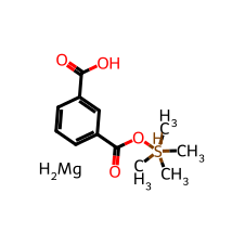 C[SH](C)(C)(C)OC(=O)c1cccc(C(=O)O)c1.[MgH2]